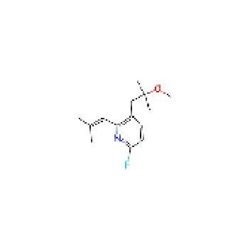 COC(C)(C)Cc1ccc(F)nc1C=C(C)C